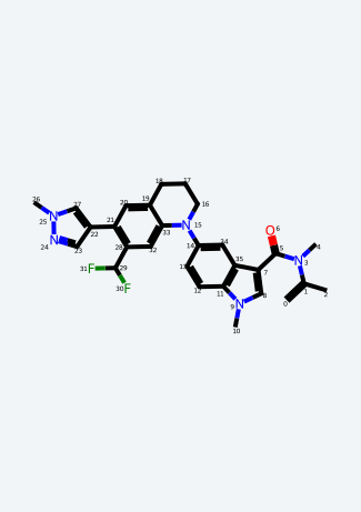 C=C(C)N(C)C(=O)c1cn(C)c2ccc(N3CCCc4cc(-c5cnn(C)c5)c(C(F)F)cc43)cc12